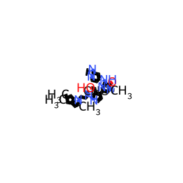 Cc1cc2c(n1CCN(C=O)c1nccc(-c3cn(C)c(=O)c(Nc4ccn5ccnc5c4)n3)c1CO)CC(C)(C)C2